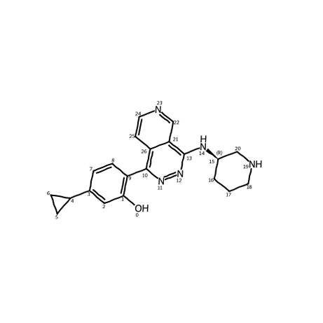 Oc1cc(C2CC2)ccc1-c1nnc(N[C@@H]2CCCNC2)c2cnccc12